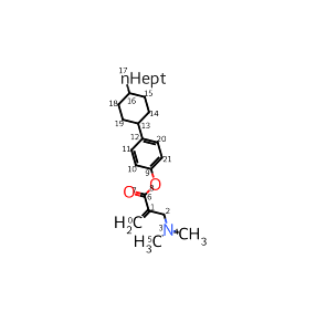 C=C(CN(C)C)C(=O)Oc1ccc(C2CCC(CCCCCCC)CC2)cc1